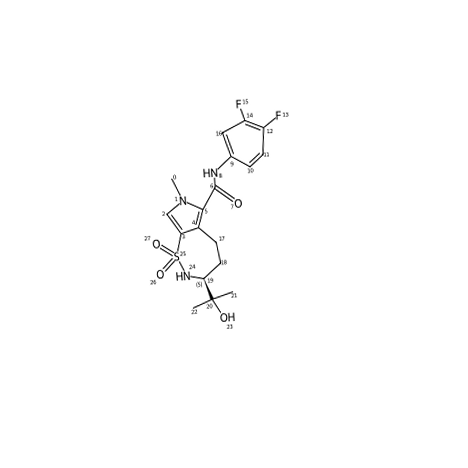 Cn1cc2c(c1C(=O)Nc1ccc(F)c(F)c1)CC[C@@H](C(C)(C)O)NS2(=O)=O